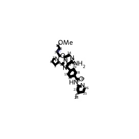 COC/C=C/C(=O)N1CCC[C@H]1c1nc(-c2ccc(C(=O)Nc3cc(F)ccn3)cc2)c2c(N)nccn12